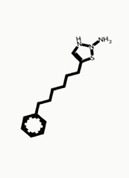 NN1NC=C(CCCCCCc2ccccc2)S1